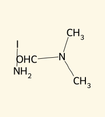 CN(C)C=O.NI